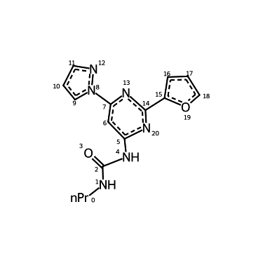 CCCNC(=O)Nc1cc(-n2cccn2)nc(-c2ccco2)n1